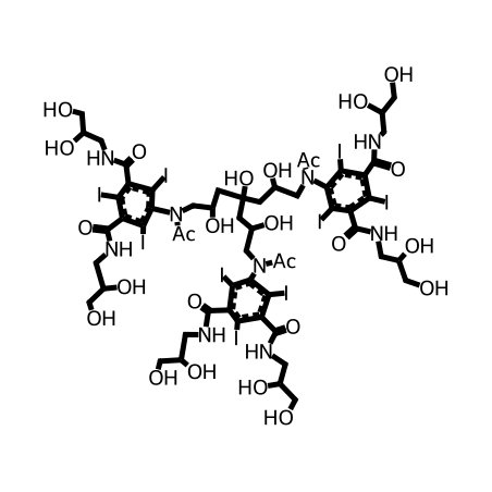 CC(=O)N(CC(O)CC(O)(CC(O)CN(C(C)=O)c1c(I)c(C(=O)NCC(O)CO)c(I)c(C(=O)NCC(O)CO)c1I)CC(O)CN(C(C)=O)c1c(I)c(C(=O)NCC(O)CO)c(I)c(C(=O)NCC(O)CO)c1I)c1c(I)c(C(=O)NCC(O)CO)c(I)c(C(=O)NCC(O)CO)c1I